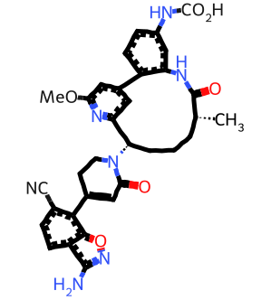 COc1cc2cc(n1)[C@@H](N1CCC(c3c(C#N)ccc4c(N)noc34)=CC1=O)CCC[C@@H](C)C(=O)Nc1cc(NC(=O)O)ccc1-2